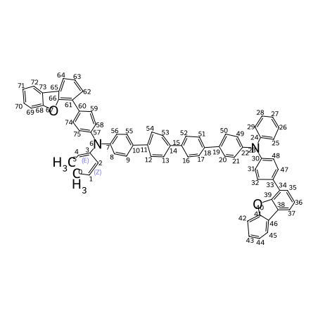 C/C=C\C(=C/C)N(c1ccc(-c2ccc(-c3ccc(-c4ccc(N(c5ccccc5)c5ccc(-c6cccc7c6oc6ccccc67)cc5)cc4)cc3)cc2)cc1)c1ccc(-c2cccc3c2oc2ccccc23)cc1